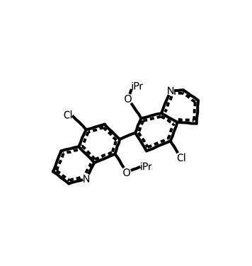 CC(C)Oc1c(-c2cc(Cl)c3cccnc3c2OC(C)C)cc(Cl)c2cccnc12